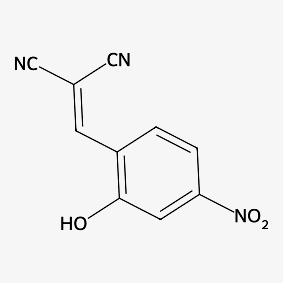 N#CC(C#N)=Cc1ccc([N+](=O)[O-])cc1O